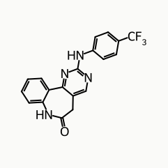 O=C1Cc2cnc(Nc3ccc(C(F)(F)F)cc3)nc2-c2ccccc2N1